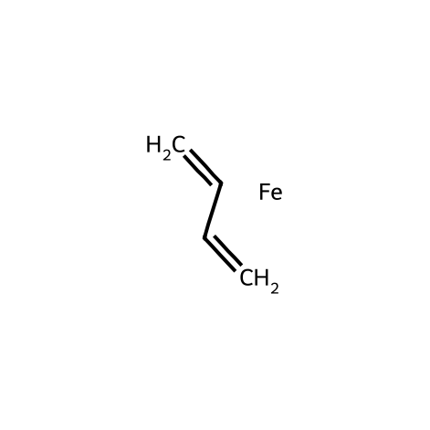 C=CC=C.[Fe]